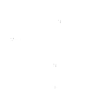 COc1cc(N(CO)c2ccccc2)c2cc3ccc(C)cc3nc2c1